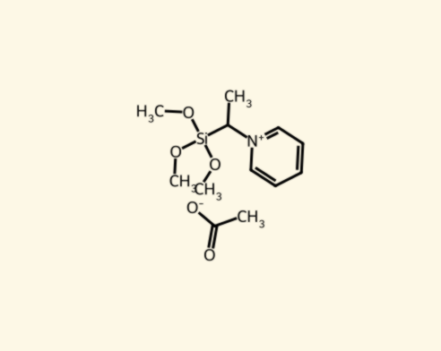 CC(=O)[O-].CO[Si](OC)(OC)C(C)[n+]1ccccc1